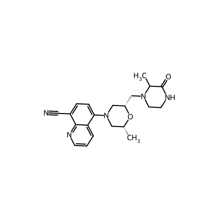 CC1C(=O)NCCN1C[C@H]1CN(c2ccc(C#N)c3ncccc23)C[C@@H](C)O1